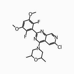 COc1cc(OC)c(F)c(-c2nc(N3CC(C)OC(C)C3)c3cc(Cl)ncc3n2)c1F